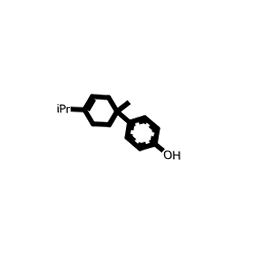 CC(C)C1=CCC(C)(c2ccc(O)cc2)CC1